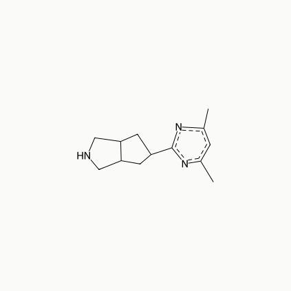 Cc1cc(C)nc(C2CC3CNCC3C2)n1